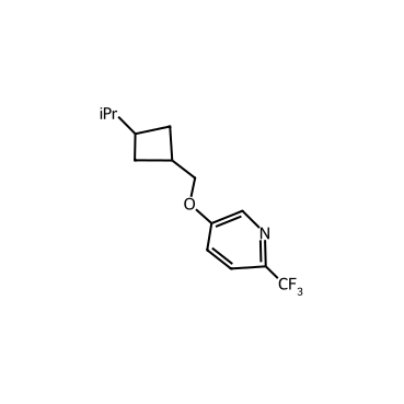 CC(C)C1CC(COc2ccc(C(F)(F)F)nc2)C1